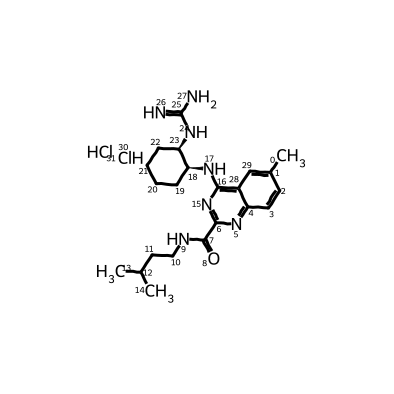 Cc1ccc2nc(C(=O)NCCC(C)C)nc(N[C@H]3CCCC[C@H]3NC(=N)N)c2c1.Cl.Cl